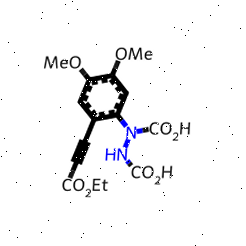 CCOC(=O)C#Cc1cc(OC)c(OC)cc1N(NC(=O)O)C(=O)O